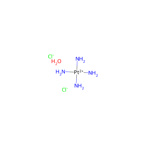 O.[Cl-].[Cl-].[NH2][Pt+2]([NH2])([NH2])[NH2]